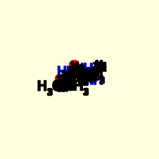 Cc1c(NC(=O)Oc2cc3c(s2)CCCC3)cccc1-c1c[nH]c(=O)c(Nc2ccc(C3C(=O)N(C)CCN3C)cc2)n1